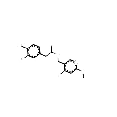 COc1cc(I)c(COC(C)Cc2ccc(Cl)c(F)c2)cn1